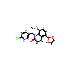 COc1ccc(C2OCCO2)c2c1N(Cc1ccc(Cl)nc1)C(=O)CC2